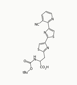 CC(C)(C)OC(=O)NC(Cc1nc(-c2nc(-c3ncccc3C#N)cs2)cs1)C(=O)O